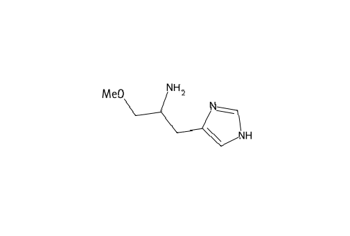 COCC(N)Cc1c[nH]cn1